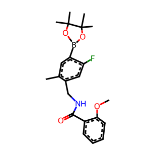 COc1ccccc1C(=O)NCc1cc(F)c(B2OC(C)(C)C(C)(C)O2)cc1C